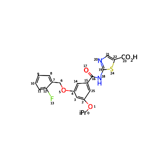 CC(C)Oc1cc(OCc2ccccc2F)cc(C(=O)Nc2ncc(C(=O)O)s2)c1